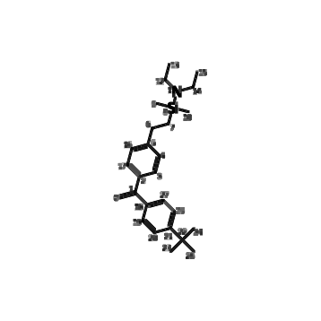 C=C(c1ccc(CC[Si](C)(C)N(CC)CC)cc1)c1ccc(C(C)(C)C)cc1